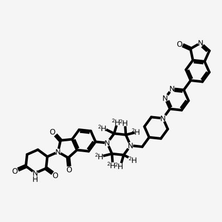 [2H]C1([2H])N(CC2CCN(c3ccc(-c4ccc5c(c4)C(=O)N=C5)nn3)CC2)C([2H])([2H])C([2H])([2H])N(c2ccc3c(c2)C(=O)N(C2CCC(=O)NC2=O)C3=O)C1([2H])[2H]